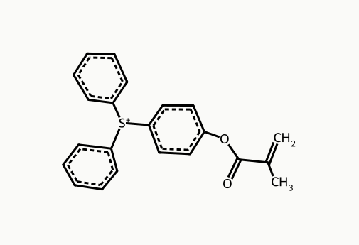 C=C(C)C(=O)Oc1ccc([S+](c2ccccc2)c2ccccc2)cc1